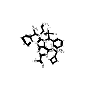 C=CCN(c1nc2nc(C(=O)O)nc(N[C@H](C)C3CCC3)c2n1C(c1ccccc1)C(F)(F)F)C(C)c1ccccn1